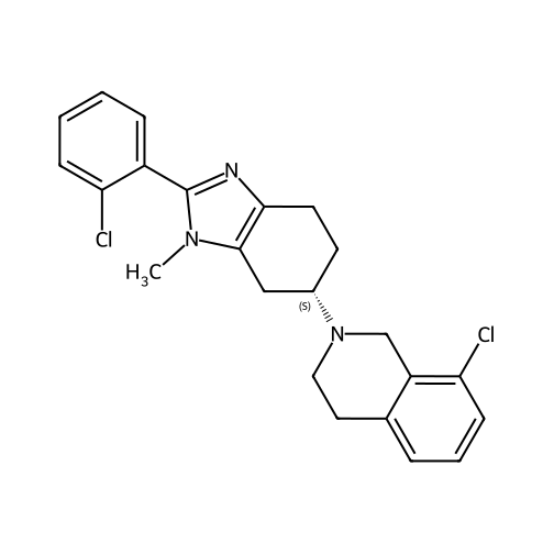 Cn1c(-c2ccccc2Cl)nc2c1C[C@@H](N1CCc3cccc(Cl)c3C1)CC2